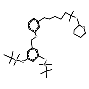 CC(C)(CCCCCc1cccc(OCc2cc(O[Si](C)(C)C(C)(C)C)cc(O[Si](C)(C)C(C)(C)C)c2)c1)OC1CCCCO1